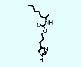 CCCCCC(C)NC(=O)OCCCc1c[nH]cn1